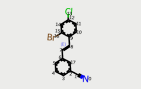 N#Cc1cccc(/C=C/c2ccc(Cl)cc2Br)c1